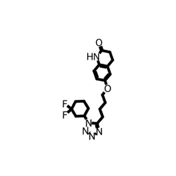 O=C1CCc2cc(OCCCCc3nnnn3C3CCCC(F)(F)C3)ccc2N1